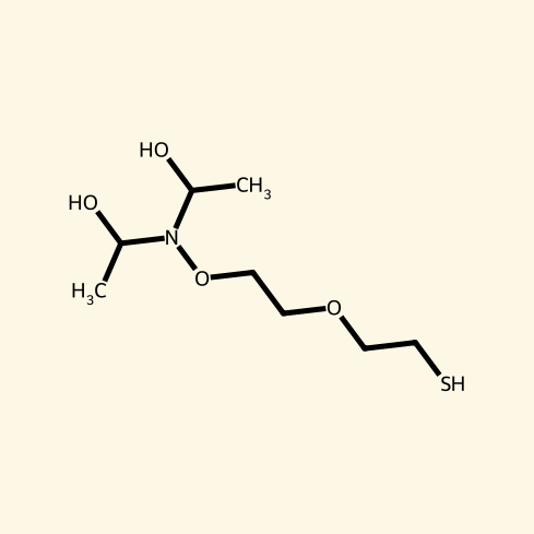 CC(O)N(OCCOCCS)C(C)O